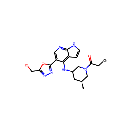 C[C@H]1C[C@@H](Nc2c(-c3nnc(CO)o3)cnc3[nH]ccc23)CN(C(=O)CC#N)C1